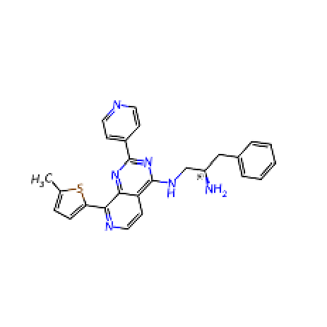 Cc1ccc(-c2nccc3c(NC[C@H](N)Cc4ccccc4)nc(-c4ccncc4)nc23)s1